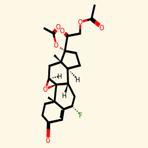 CC(=O)OCC(=O)[C@@]1(OC(C)=O)CC[C@H]2[C@@H]3C[C@H](F)C4=CC(=O)CC[C@]4(C)[C@@]34O[C@H]4C[C@@]21C